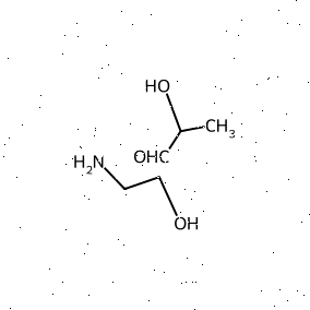 CC(O)C=O.NCCO